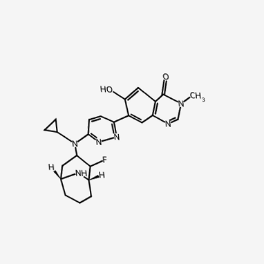 Cn1cnc2cc(-c3ccc(N(C4CC4)C4C[C@H]5CCC[C@H](N5)C4F)nn3)c(O)cc2c1=O